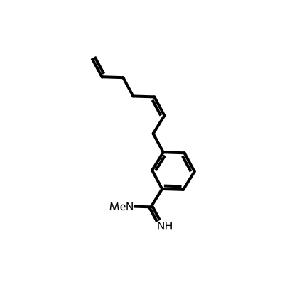 C=CCC/C=C\Cc1cccc(C(=N)NC)c1